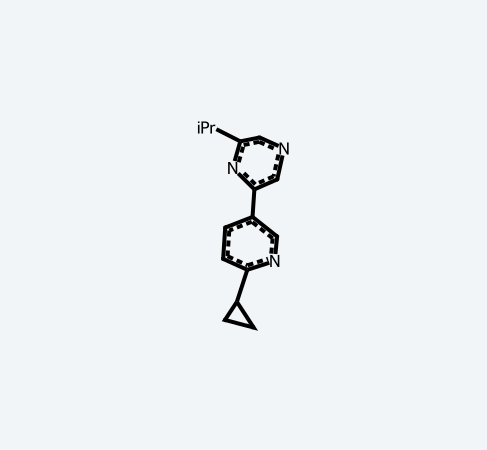 CC(C)c1cncc(-c2ccc(C3CC3)nc2)n1